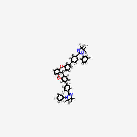 CC1(C)N=C(c2ccc(-c3ccc4c(c3)Oc3cccc5c3B4c3ccc(-c4ccc(C6=NC(C)(C)C(C)(C)N6c6ccccc6)cc4)cc3O5)cc2)N(c2ccccc2)C1(C)C